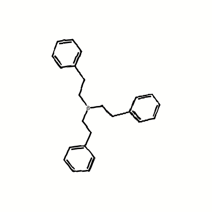 c1ccc(CCB(CCc2ccccc2)CCc2ccccc2)cc1